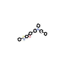 c1ccc(-c2ccc(N(c3ccccc3)c3ccc(-c4ccc5c(c4)oc4cc6nc(-c7ccccc7)sc6cc45)cc3)cc2)cc1